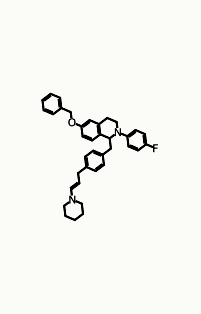 Fc1ccc(N2CCc3cc(OCc4ccccc4)ccc3C2Cc2ccc(CC=CN3CCCCC3)cc2)cc1